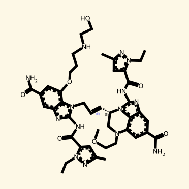 CCn1nc(C)cc1C(=O)Nc1nc2cc(C(N)=O)cc(OCCCNCCO)c2n1C/C=C/[C@H]1CN(CCOC)c2cc(C(N)=O)cc3nc(NC(=O)c4cc(C)nn4CC)n1c23